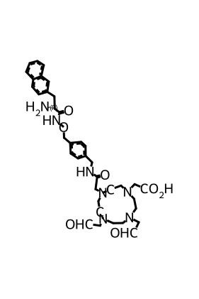 N[C@H](Cc1ccc2ccccc2c1)C(=O)NOCc1ccc(CNC(=O)CN2CCN(CC=O)CCN(CC=O)CCN(CC(=O)O)CC2)cc1